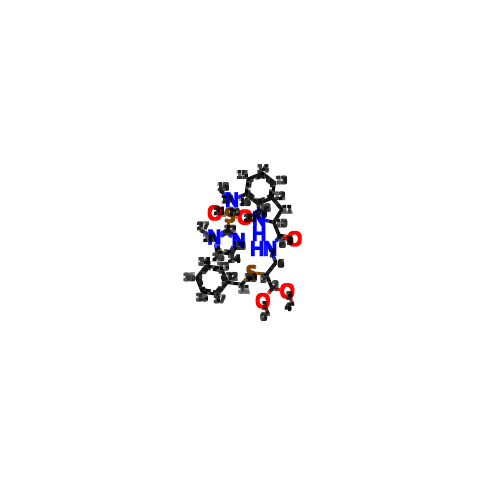 COC(OC)C(CNC(=O)C1Cc2cccc(N(C)S(=O)(=O)c3nccn3C)c2N1)SCc1ccccc1